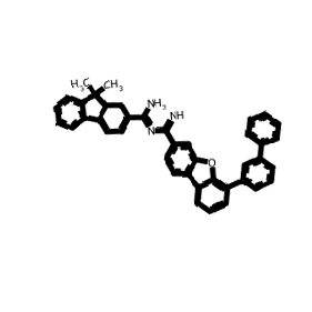 CC1(C)c2ccccc2C2=CC=C(/C(N)=N/C(=N)c3ccc4c(c3)OC3=C(c5cccc(-c6ccccc6)c5)C=CCC34)CC21